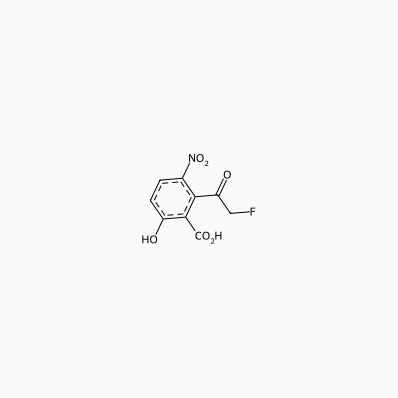 O=C(O)c1c(O)ccc([N+](=O)[O-])c1C(=O)CF